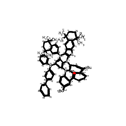 CC(C)(C)c1ccc2c(c1)B1c3sc4cc5c(cc4c3N(c3ccc4c(c3)C(C)(C)CCC4(C)C)c3cc(N(c4ccccc4)c4ccc(-c6ccccc6)cc4)cc(c31)N2c1ccc(C(C)(C)C)cc1-c1ccccc1)C(C)(C)CCC5(C)C